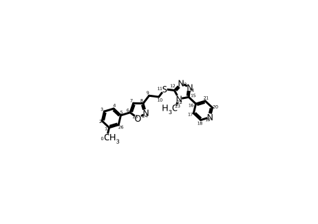 Cc1cccc(-c2cc(CCSc3nnc(-c4ccncc4)n3C)no2)c1